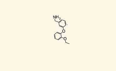 CCOc1ccccc1Oc1[c]ccc(CN)c1